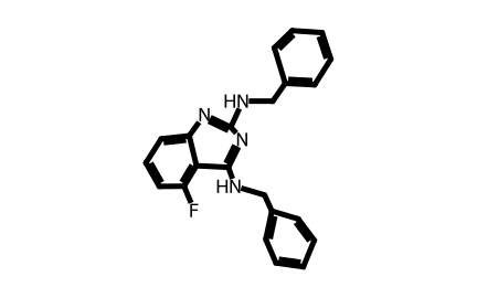 Fc1cccc2nc(NCc3ccccc3)nc(NCc3ccccc3)c12